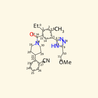 CCc1cc(C)c(-c2nnc(CCOC)[nH]2)cc1C(=O)N1CCC(c2ccccc2C#N)CC1